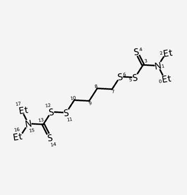 CCN(CC)C(=S)SSCCCCSSC(=S)N(CC)CC